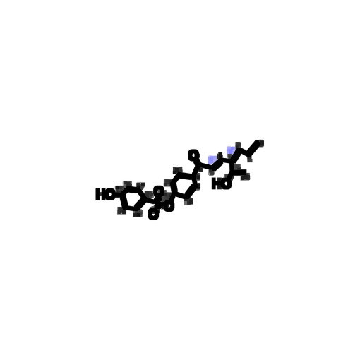 C=C/C=C(/C=C/C(=O)c1ccc(OS(=O)(=O)c2ccc(O)cc2)cc1)C(=C)O